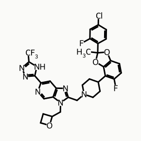 CC1(c2ccc(Cl)cc2F)Oc2ccc(F)c(C3CCN(Cc4nc5cc(-c6nnc(C(F)(F)F)[nH]6)ncc5n4CC4CCO4)CC3)c2O1